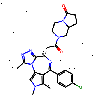 Cc1c2c(cn1C)-n1c(C)nnc1[C@H](CC(=O)N1CCN3C(=O)CCC3C1)N=C2c1ccc(Cl)cc1